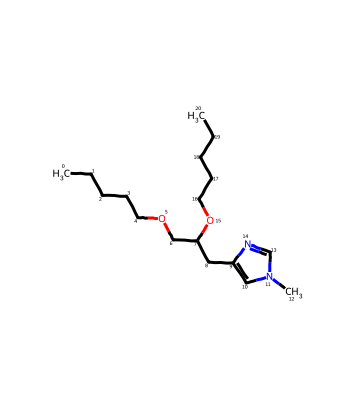 CCCCCOCC(Cc1cn(C)cn1)OCCCCC